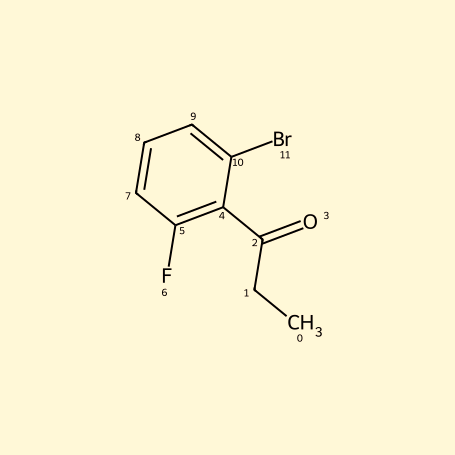 CCC(=O)c1c(F)cccc1Br